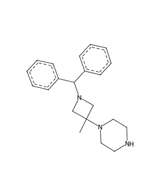 CC1(N2CCNCC2)CN(C(c2ccccc2)c2ccccc2)C1